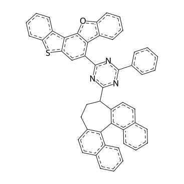 c1ccc(-c2nc(-c3cc4sc5ccccc5c4c4oc5ccccc5c34)nc(C3CCc4ccc5ccccc5c4-c4c3ccc3ccccc43)n2)cc1